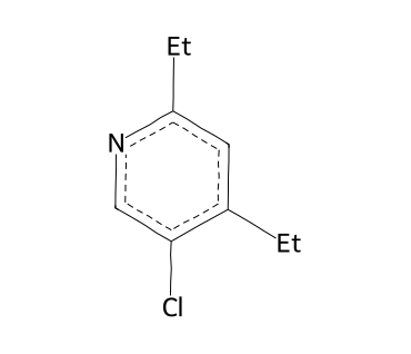 CCc1cc(CC)c(Cl)cn1